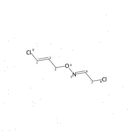 ClC=CCON=CCCl